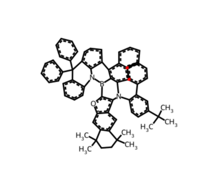 CC(C)(C)c1ccc(N2c3cc4ccccc4c4c3B(c3oc5cc6c(cc5c32)C(C)(C)CCC6(C)C)N2c3ccccc3C(c3ccccc3)(c3ccccc3)c3cccc-4c32)c(-c2ccccc2)c1